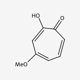 COc1cccc(=O)c(O)c1